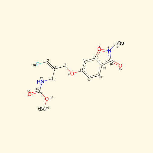 CCCCn1oc2cc(OCC(=CF)CNC(=O)OC(C)(C)C)ccc2c1=O